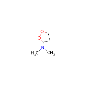 CN(C)[C]1CCOO1